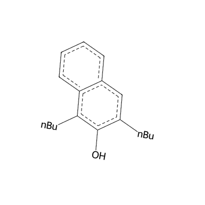 CCCCc1cc2ccccc2c(CCCC)c1O